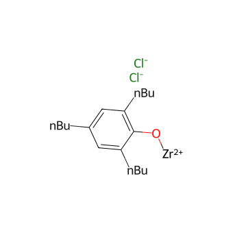 CCCCc1cc(CCCC)c([O][Zr+2])c(CCCC)c1.[Cl-].[Cl-]